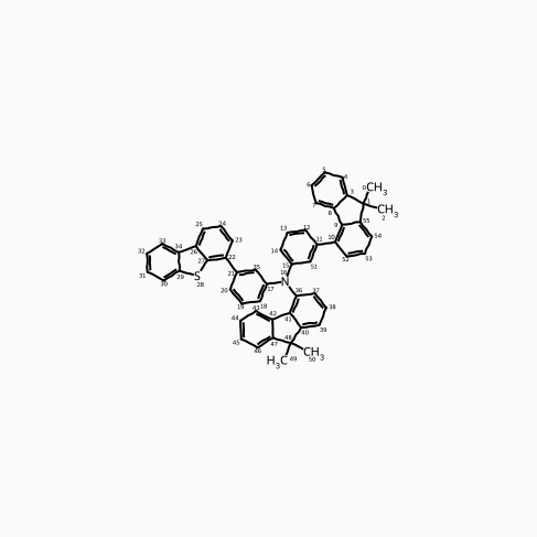 CC1(C)c2ccccc2-c2c(-c3cccc(N(c4cccc(-c5cccc6c5sc5ccccc56)c4)c4cccc5c4-c4ccccc4C5(C)C)c3)cccc21